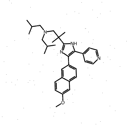 COc1ccc2cc(-c3nc(C(C)(C)CN(CC(C)C)CC(C)C)[nH]c3-c3ccncc3)ccc2c1